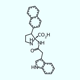 O=C(Cc1c[nH]c2ccccc12)N[C@]1(C(=O)O)NCCC1c1ccc2ccccc2c1